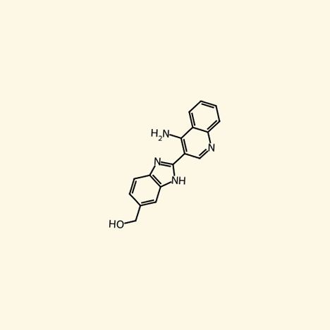 Nc1c(-c2nc3ccc(CO)cc3[nH]2)cnc2ccccc12